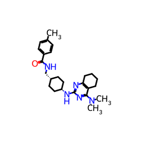 Cc1ccc(C(=O)NC[C@H]2CC[C@@H](Nc3nc4c(c(N(C)C)n3)CCCC4)CC2)cc1